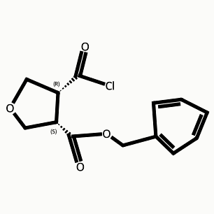 O=C(Cl)[C@H]1COC[C@H]1C(=O)OCc1ccccc1